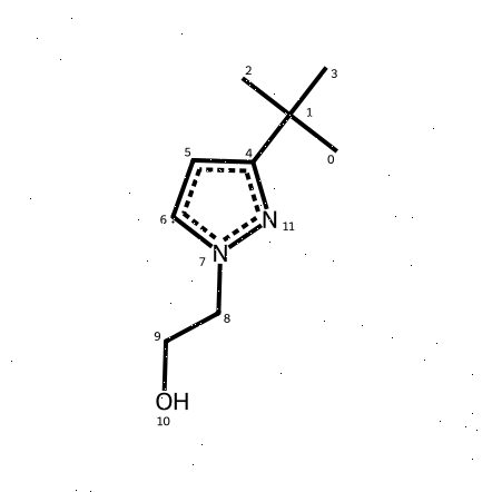 CC(C)(C)c1c[c]n(CCO)n1